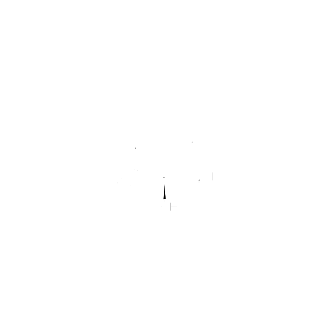 C[C@H]1[C@H](O)CCC[C@@H]1C